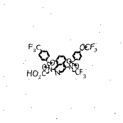 O=C(O)CN(c1ncc(N(CC(F)(F)F)S(=O)(=O)c2ccc(OC(F)(F)F)cc2)c2ccccc12)S(=O)(=O)c1ccc(C(F)(F)F)cc1